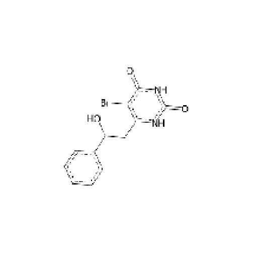 O=c1[nH]c(CC(O)c2ccccc2)c(Br)c(=O)[nH]1